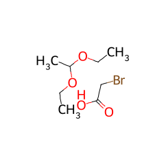 CCOC(C)OCC.O=C(O)CBr